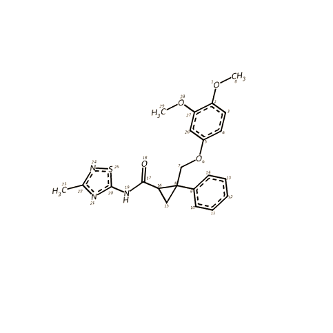 COc1ccc(OCC2(c3ccccc3)CC2C(=O)Nc2nc(C)ns2)cc1OC